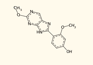 COc1ncc2nc(-c3ccc(O)cc3OC)[nH]c2n1